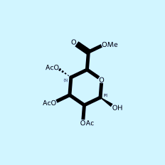 COC(=O)C1O[C@@H](O)C(OC(C)=O)C(OC(C)=O)[C@@H]1OC(C)=O